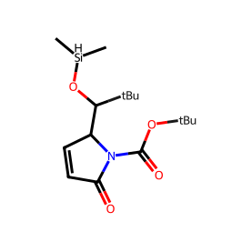 C[SiH](C)OC(C1C=CC(=O)N1C(=O)OC(C)(C)C)C(C)(C)C